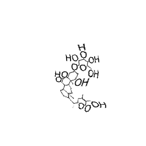 CC1=C(CO)C(=O)OC([C@H](C)C2CCC3C4C5OC5C5(O)C[C@@H](OC6OC(CO)C(O)C(O)C6O)C[C@H](O)[C@]5(C)C4CC[C@@]32C)C1